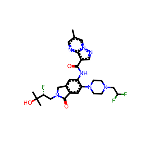 Cc1cnc2c(C(=O)Nc3cc4c(cc3N3CCN(CC(F)F)CC3)C(=O)N(C[C@@H](F)C(C)(C)O)C4)cnn2c1